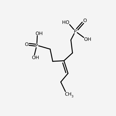 CCC=C(CCP(=O)(O)O)CCP(=O)(O)O